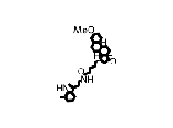 COc1ccc2c(c1)CCC1[C@@H]2CC[C@]2(C)C(=O)C[C@@H](CCCCC(=O)NCCc3c[nH]c4c(C)cccc34)[C@@H]12